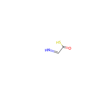 N=CC(=O)S